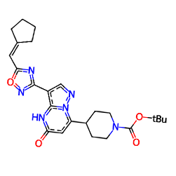 CC(C)(C)OC(=O)N1CCC(c2cc(=O)[nH]c3c(-c4noc(C=C5CCCC5)n4)cnn23)CC1